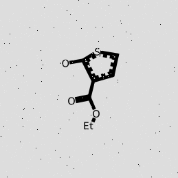 CCOC(=O)c1ccsc1[O]